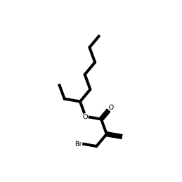 C=C(CBr)C(=O)OC(CC)CCCCC